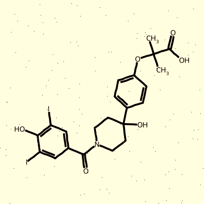 CC(C)(Oc1ccc(C2(O)CCN(C(=O)c3cc(I)c(O)c(I)c3)CC2)cc1)C(=O)O